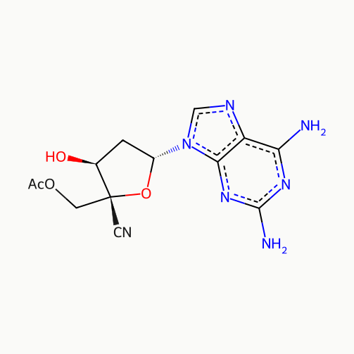 CC(=O)OC[C@@]1(C#N)O[C@@H](n2cnc3c(N)nc(N)nc32)C[C@@H]1O